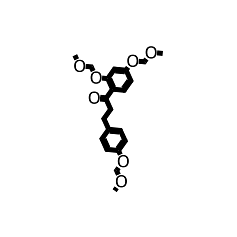 COCOc1ccc(CCC(=O)c2ccc(OCOC)cc2OCOC)cc1